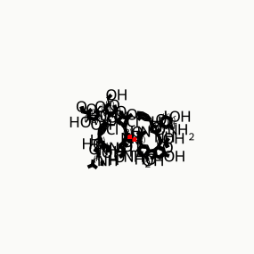 CN[C@H](CC(C)C)C(=O)N[C@H]1C(=O)N[C@@H](CC(N)=O)C(=O)N[C@H]2C(=O)N[C@H]3C(=O)NC(C(=O)N[C@@H](C(=O)O)c4cc(O)cc(O)c4-c4cc3ccc4O)[C@H](O[C@H]3C[C@](C)(N)[C@@H](O)[C@H](C)O3)c3ccc(c(Cl)c3)Oc3cc2cc(c3O[C@@H]2O[C@H](CO)[C@@H](O[C@@H]3OC(C=O)[C@H](O)[C@H](O)[C@H]3O)[C@H](O)[C@H]2O)Oc2ccc(cc2Cl)[C@H]1O